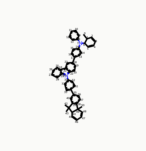 CC1C=CC=CC1N(c1ccccc1)c1ccc(-c2ccc3c(c2)c2ccccc2n3-c2ccc(-c3ccc4c(c3)C(C)(C)C3C=CC=CC43C)cc2)cc1